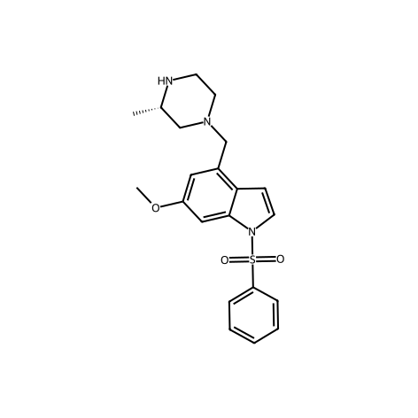 COc1cc(CN2CCN[C@@H](C)C2)c2ccn(S(=O)(=O)c3ccccc3)c2c1